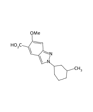 COc1cc2nn(C3CCCC(C)C3)cc2cc1C(=O)O